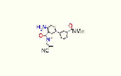 C=C(C#N)CN1Cc2c(-c3cccc(C(=O)NC)c3)ccc(N)c2C1=O